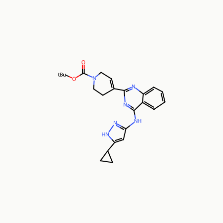 CC(C)(C)OC(=O)N1CC=C(c2nc(Nc3cc(C4CC4)[nH]n3)c3ccccc3n2)CC1